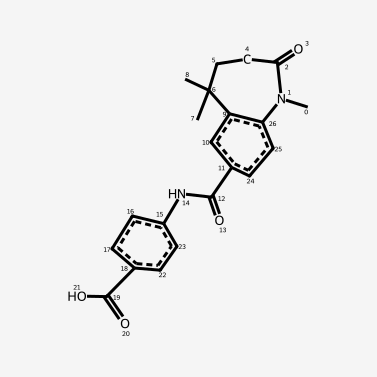 CN1C(=O)CCC(C)(C)c2cc(C(=O)Nc3ccc(C(=O)O)cc3)ccc21